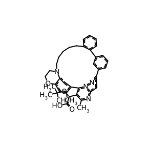 Cc1cc2c3cc1-c1c([C@H](OC(C)(C)C)C(=O)O)c(C)nc4cc(nn14)-c1cccc(c1)-c1ccccc1CCCCCN3CCO2